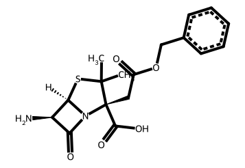 CC1(C)S[C@@H]2[C@H](N)C(=O)N2[C@@]1(CC(=O)OCc1ccccc1)C(=O)O